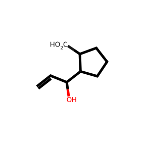 C=CC(O)C1CCCC1C(=O)O